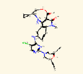 C[C@@H]1CN(c2ncc(Cl)c(Nc3ccc4c(c3)c3c(c(=O)n4C)C(=O)OC[C@H](C4CC4)N3)n2)C[C@H](C)O1